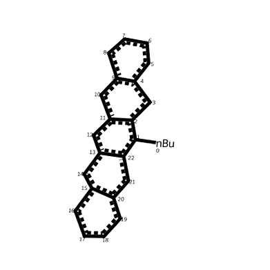 CCCCc1c2cc3ccccc3cc2cc2cc3ccccc3cc12